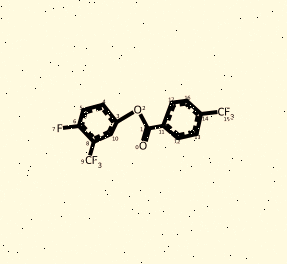 O=C(Oc1ccc(F)c(C(F)(F)F)c1)c1ccc(C(F)(F)F)cc1